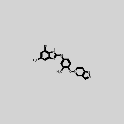 Cc1cc(Nc2nc3cc(C(F)(F)F)cc(Br)c3[nH]2)ccc1ON1C=Cc2sncc2C1